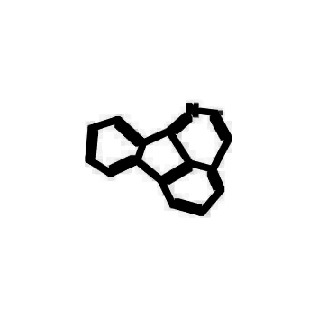 [c]1cc2cccc3c2c(n1)-c1ccccc1-3